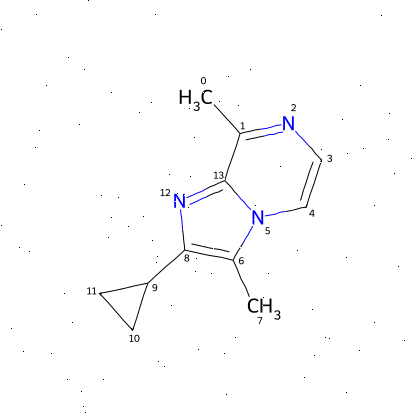 Cc1nccn2c(C)c(C3CC3)nc12